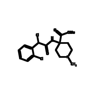 COC(=O)C1(NC(=O)C(Cl)c2ccccc2Cl)CCN(C)CC1